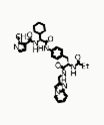 CCC(=O)N[C@H](Cc1ccc(NC(=O)[C@@H](NC(=O)c2ccnn2C)C2CCCCC2)cc1)C(=O)NCc1cn2ccccc2n1